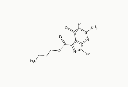 CCCCOC(=O)c1nc(Br)n2nc(C)[nH]c(=O)c12